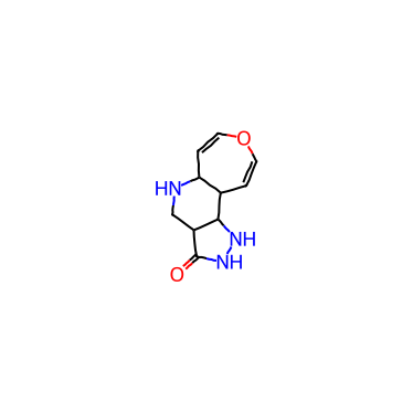 O=C1NNC2C1CNC1C=COC=CC12